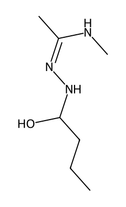 CCCC(O)N/N=C(/C)NC